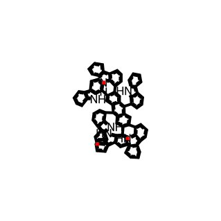 c1ccc2c(c1)[nH]c1c(-c3cc4c(-c5cccc6c5[nH]c5ccccc56)c5cc(-c6cccc7c6[nH]c6ccccc67)c(-c6cccc7c6[nH]c6ccccc67)cc5c(-c5cccc6c5[nH]c5ccccc56)c4cc3-c3cccc4c3[nH]c3ccccc34)cccc12